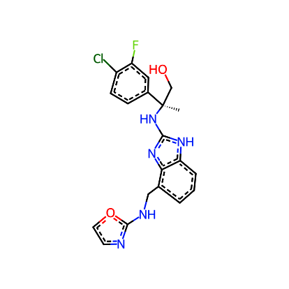 C[C@](CO)(Nc1nc2c(CNc3ncco3)cccc2[nH]1)c1ccc(Cl)c(F)c1